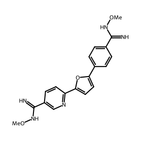 CONC(=N)c1ccc(-c2ccc(-c3ccc(C(=N)NOC)cn3)o2)cc1